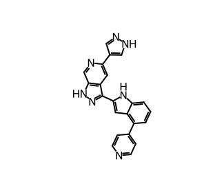 c1cc(-c2ccncc2)c2cc(-c3n[nH]c4cnc(-c5cn[nH]c5)cc34)[nH]c2c1